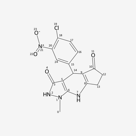 Cn1[nH]c(=O)c2c1NC1=C(C(=O)CC1)C2c1ccc(Cl)c([N+](=O)[O-])c1